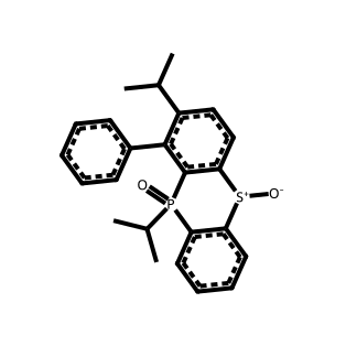 CC(C)c1ccc2c(c1-c1ccccc1)P(=O)(C(C)C)c1ccccc1[S+]2[O-]